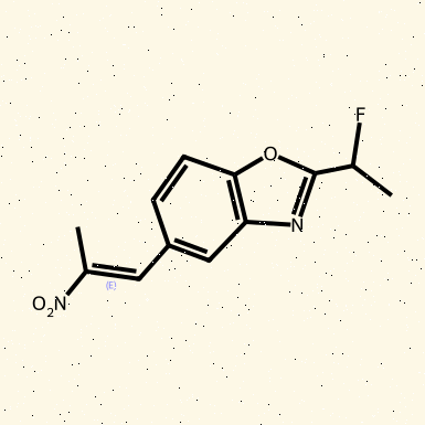 C/C(=C\c1ccc2oc(C(C)F)nc2c1)[N+](=O)[O-]